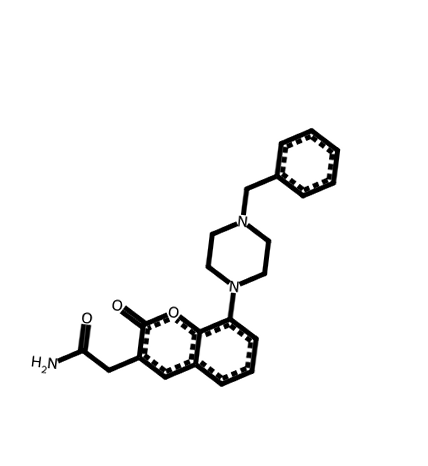 NC(=O)Cc1cc2cccc(N3CCN(Cc4ccccc4)CC3)c2oc1=O